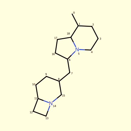 CC1CCCN2C(CC3CCC4CCN4C3)CCC12